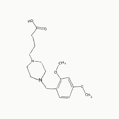 COc1ccc(CN2CCN(CCCC(=O)O)CC2)c(OC)c1